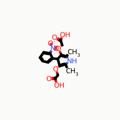 CC1=C(OCC(=O)O)C(c2ccccc2[N+](=O)[O-])C(OCC(=O)O)=C(C)N1